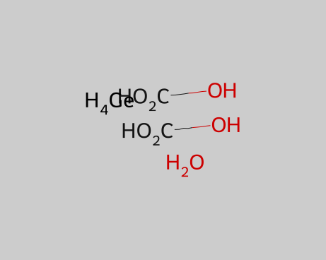 O.O=C(O)O.O=C(O)O.[GeH4]